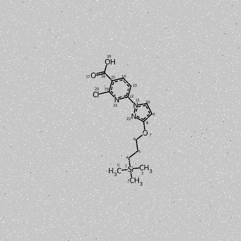 C[Si](C)(C)CCCOc1ccn(-c2ccc(C(=O)O)c(Cl)n2)n1